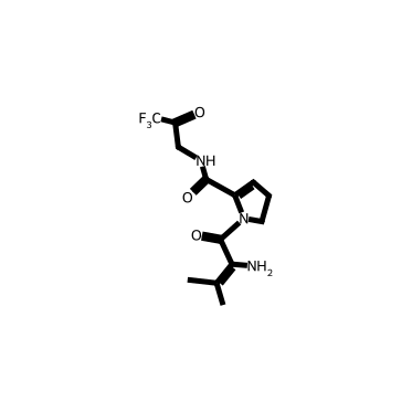 CC(C)=C(N)C(=O)N1CCC=C1C(=O)NCC(=O)C(F)(F)F